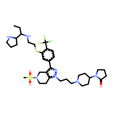 CCC(NCCSc1cc(-c2nn(CCCN3CCC(N4CCCC4=O)CC3)c3c2CN(S(C)(=O)=O)CC3)ccc1C(F)(F)F)C1CCCN1